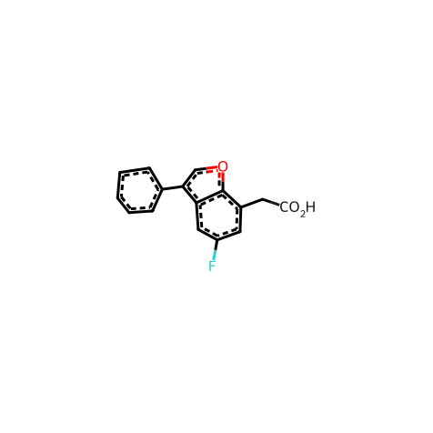 O=C(O)Cc1cc(F)cc2c(-c3ccccc3)coc12